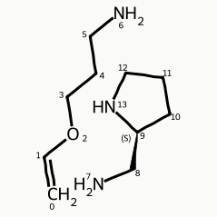 C=COCCCN.NC[C@@H]1CCCN1